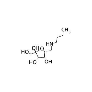 CCCCNC[C@H]1O[C@@](O)(CO)[C@@H](O)[C@H]1O